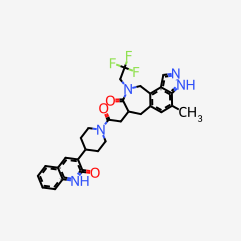 Cc1cc2c(c3cn[nH]c13)CN(CC(F)(F)F)C(=O)C(CC(=O)N1CCC(c3cc4ccccc4[nH]c3=O)CC1)C2